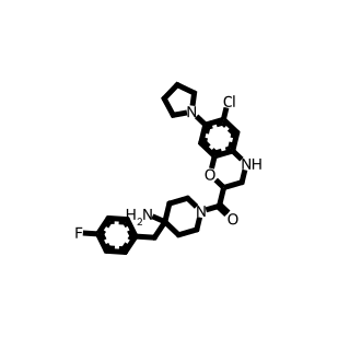 NC1(Cc2ccc(F)cc2)CCN(C(=O)C2CNc3cc(Cl)c(N4CCCC4)cc3O2)CC1